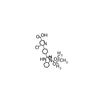 CC(C)(C)OC(=O)Nc1ccccc1NC(=O)c1ccc(-c2ncc(C(=O)O)cc2Cl)cc1